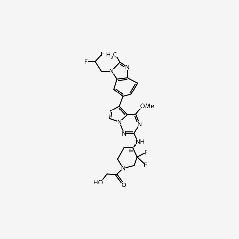 COc1nc(N[C@@H]2CCN(C(=O)CO)CC2(F)F)nn2ccc(-c3ccc4nc(C)n(CC(F)F)c4c3)c12